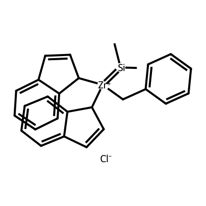 C[Si](C)=[Zr+]([CH2]c1ccccc1)([CH]1C=Cc2ccccc21)[CH]1C=Cc2ccccc21.[Cl-]